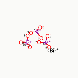 [Bi+3].[O-][I+2]([O-])[O-].[O-][I+2]([O-])[O-].[O-][I+2]([O-])[O-]